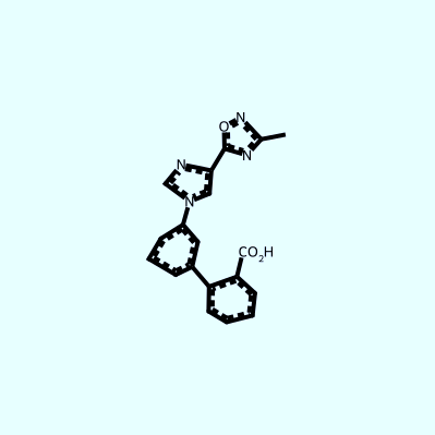 Cc1noc(-c2cn(-c3cccc(-c4ccccc4C(=O)O)c3)cn2)n1